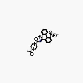 CC(=O)N1CCN(C(=O)/C=C/c2cc[c]c([N+](=O)[O-])c2-c2ccccc2N(C)C)CC1